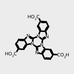 O=C(O)c1ccc2nc3n(c2c1)c1nc2ccc(C(=O)O)cc2n1c1nc2ccc(C(=O)O)cc2n31